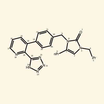 CCCc1cn(CC(C)C)c(=O)n1Cc1ccc(-c2cccnc2-c2nnn[nH]2)cc1